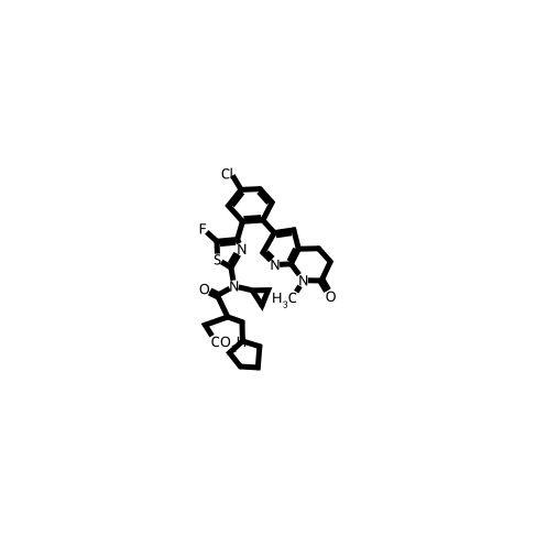 CN1C(=O)CCc2cc(-c3ccc(Cl)cc3-c3nc(N(C(=O)C(CC(=O)O)CC4CCCC4)C4CC4)sc3F)cnc21